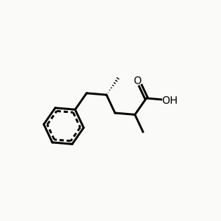 CC(C[C@@H](C)Cc1ccccc1)C(=O)O